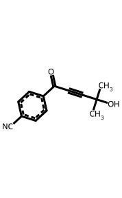 CC(C)(O)C#CC(=O)c1ccc(C#N)cc1